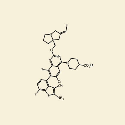 CCOC(=O)C1CCN(c2nc(OC[C@@]34CCCN3C/C(=C\F)C4)nc3c(F)c(-c4ccc(F)c5sc(N)c(C#N)c45)c(Cl)cc23)CC1